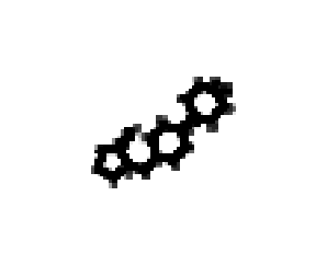 O=C1CCCN1CC1CCC(C2CCNCC2)CC1